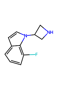 Fc1cccc2ccn(C3CNC3)c12